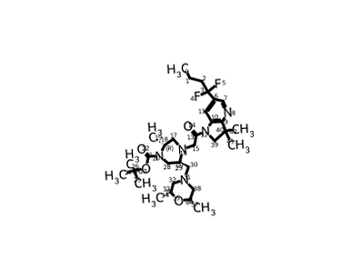 CCCC(F)(F)c1cnc2c(c1)N(C(=O)CN1C[C@@H](C)N(C(=O)OC(C)(C)C)C[C@@H]1CN1C[C@@H](C)O[C@@H](C)C1)CC2(C)C